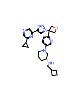 c1cc(C2(n3cc(-c4cncc(C5CC5)n4)nn3)COC2)ncc1N1CCC[C@@H](NCC2CCC2)C1